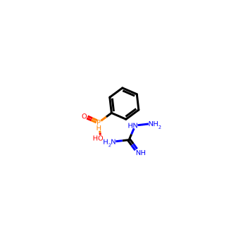 N=C(N)NN.O=[PH](O)c1ccccc1